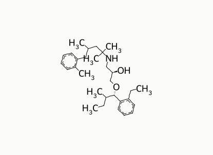 CCc1ccccc1[C@@H](OC[C@H](O)CNC(C)(C)CC(C)Cc1ccccc1C)C(C)CC